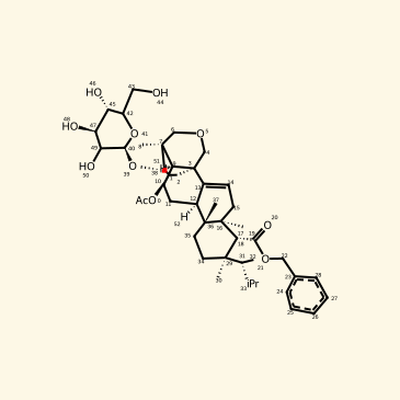 CC(=O)O[C@@H]1C[C@@]23COC[C@@](C)([C@@H]2CC[C@H]2C3=CC[C@@]3(C)[C@H](C(=O)OCc4ccccc4)[C@@](C)([C@H](C)C(C)C)CC[C@]23C)[C@H]1O[C@@H]1OC(CO)[C@@H](O)[C@H](O)C1O